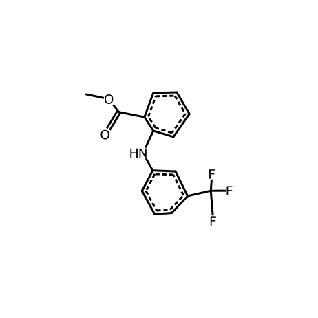 COC(=O)c1ccccc1Nc1cccc(C(F)(F)F)c1